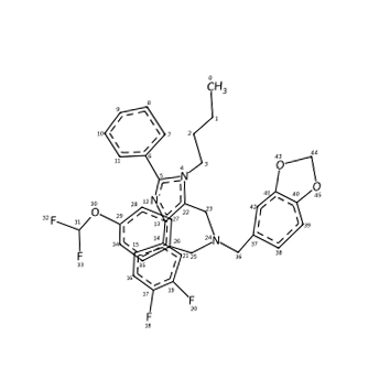 CCCCn1c(-c2ccccc2)nc(-c2ccc(F)c(F)c2)c1CN(Cc1ccc(OC(F)F)cc1)Cc1ccc2c(c1)OCO2